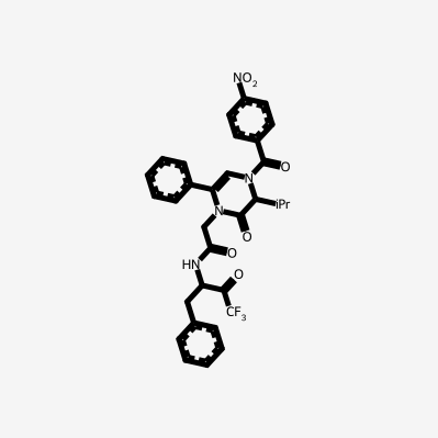 CC(C)C1C(=O)N(CC(=O)NC(Cc2ccccc2)C(=O)C(F)(F)F)C(c2ccccc2)=CN1C(=O)c1ccc([N+](=O)[O-])cc1